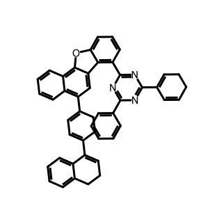 C1=CC(c2nc(-c3ccccc3)nc(-c3cccc4oc5c6ccccc6c(C6=CC=C(C7=CCCc8ccccc87)CC6)cc5c34)n2)=CCC1